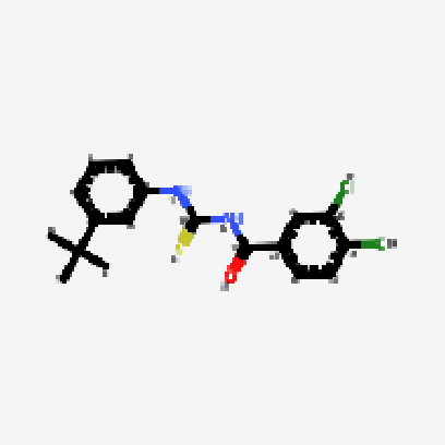 CC(C)(C)c1cccc(NC(=S)NC(=O)c2ccc(Cl)c(Cl)c2)c1